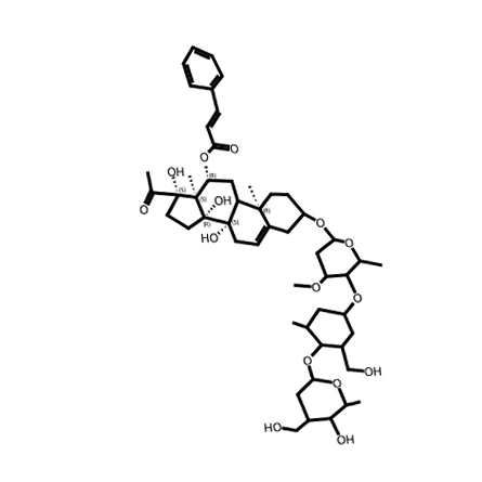 COC1CC(OC2CC[C@@]3(C)C(=CC[C@]4(O)C3C[C@@H](OC(=O)C=Cc3ccccc3)[C@@]3(C)[C@]4(O)CC[C@@]3(O)C(C)=O)C2)OC(C)C1OC1CC(C)C(OC2CC(CO)C(O)C(C)O2)C(CO)C1